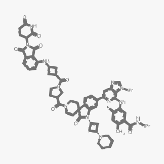 Cc1cc(F)c(Nc2nc(-c3ccc4c(c3)N([C@H]3C[C@@H](N5CCCCC5)C3)C(=O)C43CCN(C(=O)C4CCN(C(=O)C5CC(Nc6cccc7c6C(=O)N(C6CCC(=O)NC6=O)C7=O)C5)C4)CC3)cc3ncn(C(C)C)c23)cc1C(=O)NC(C)C